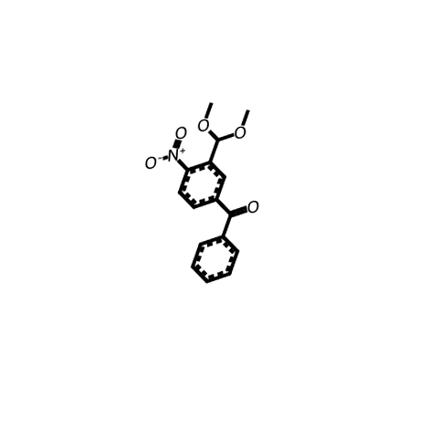 COC(OC)c1cc(C(=O)c2ccccc2)ccc1[N+](=O)[O-]